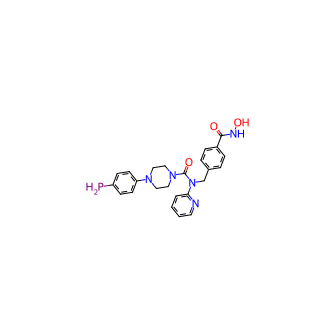 O=C(NO)c1ccc(CN(C(=O)N2CCN(c3ccc(P)cc3)CC2)c2ccccn2)cc1